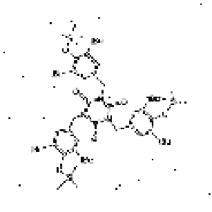 CC(C)(C)c1cc(Cn2c(=O)n(Cc3cc(C(C)(C)C)c(O[Si](C)(C)C)c(C(C)(C)C)c3)c(=O)n(Cc3cc(C(C)(C)C)c(O[Si](C)(C)C)c(C(C)(C)C)c3)c2=O)cc(C(C)(C)C)c1O[Si](C)(C)C